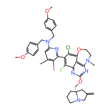 C=C1CN2CCC[C@@]2(COc2nc3c4c(c(Cl)c(-c5nc(N(Cc6ccc(OC)cc6)Cc6ccc(OC)cc6)cc(C)c5I)c(F)c4n2)OCCN3C)C1